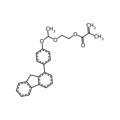 C=C(C)C(=O)OCCOC(C)Oc1ccc(-c2cccc3c2Cc2ccccc2-3)cc1